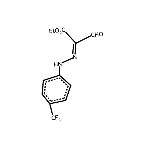 CCOC(=O)/C(C=O)=N\Nc1ccc(C(F)(F)F)cc1